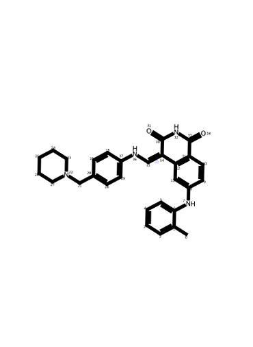 Cc1ccccc1Nc1ccc2c(c1)/C(=C/Nc1ccc(CN3CCCCC3)cc1)C(=O)NC2=O